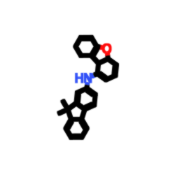 CC1(C)c2ccccc2-c2ccc(NC3=CC=CC4OC5=C(CCC=C5)C34)cc21